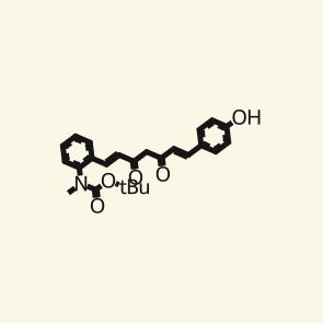 CN(C(=O)OC(C)(C)C)c1ccccc1C=CC(=O)CC(=O)C=Cc1ccc(O)cc1